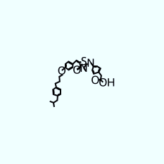 CC(C)Cc1ccc(CCCCOc2ccc(C=C3SC(=Nc4ccc(CC(=O)O)cc4)N(C)C3=O)cc2)cc1